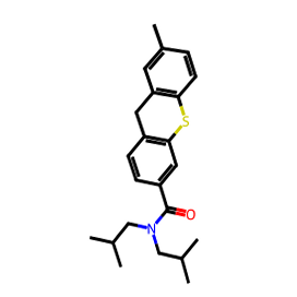 Cc1ccc2c(c1)Cc1ccc(C(=O)N(CC(C)C)CC(C)C)cc1S2